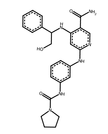 NC(=O)c1cnc(Nc2cccc(NC(=O)N3CCCC3)c2)cc1NC(CO)c1ccccc1